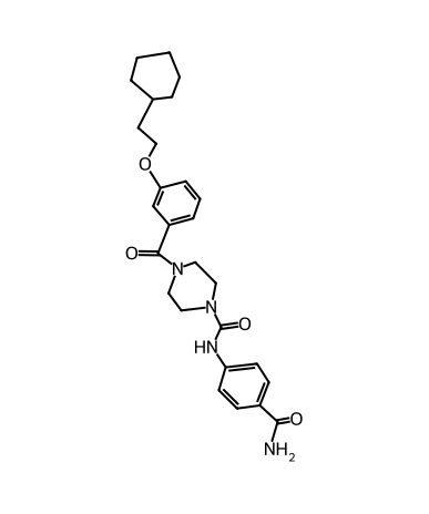 NC(=O)c1ccc(NC(=O)N2CCN(C(=O)c3cccc(OCCC4CCCCC4)c3)CC2)cc1